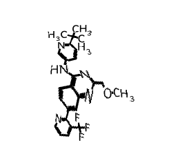 COCc1nc(Nc2ccc(C(C)(C)C)nc2)c2ccc(-c3ncccc3C(F)(F)F)cc2n1